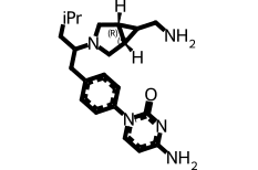 CC(C)CC(Cc1ccc(-n2ccc(N)nc2=O)cc1)N1C[C@@H]2C(CN)[C@@H]2C1